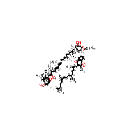 CC(=CCC1=C(C)C(=O)c2ccccc2C1=O)CCCC(C)CCCC(C)CCCC(C)C.CC(=O)O[C@H]1CC(C)(C)C(=C=C/C(C)=C/C=C/C(C)=C/C=C/C=C(C)/C=C/C=C(\C)C(=O)C[C@@]23O[C@]2(C)C[C@@H](O)CC3(C)C)[C@](C)(O)C1